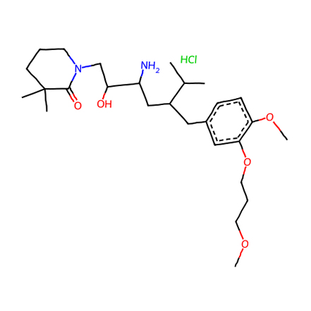 COCCCOc1cc(CC(CC(N)C(O)CN2CCCC(C)(C)C2=O)C(C)C)ccc1OC.Cl